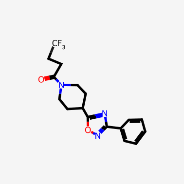 O=C(CCC(F)(F)F)N1CCC(c2nc(-c3ccccc3)no2)CC1